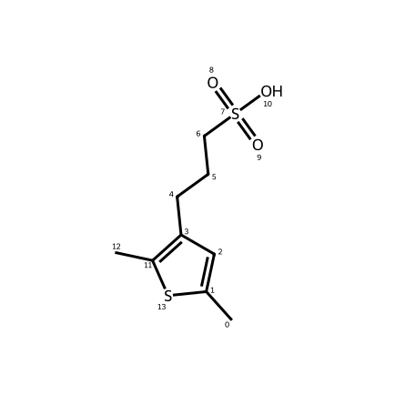 Cc1cc(CCCS(=O)(=O)O)c(C)s1